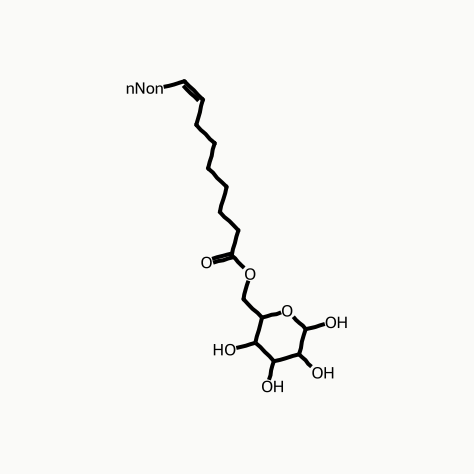 CCCCCCCCC/C=C\CCCCCCC(=O)OCC1OC(O)C(O)C(O)C1O